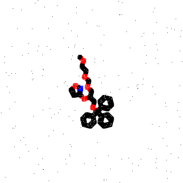 COCCOCOCC(COC(c1ccccc1)(c1ccccc1)c1ccccc1)Oc1ccon1